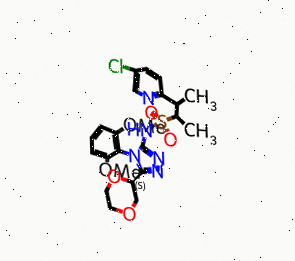 COc1cccc(OC)c1-n1c(NS(=O)(=O)C(C)C(C)c2ccc(Cl)cn2)nnc1[C@H]1COCCO1